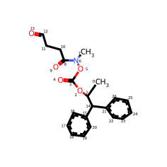 CC(OC(=O)ON(C)C(=O)CCC=O)C(c1ccccc1)c1ccccc1